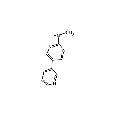 CNc1ncc(-c2cccnc2)cn1